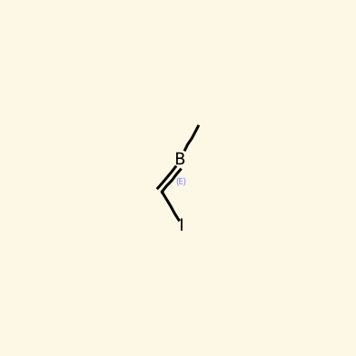 C/B=C/I